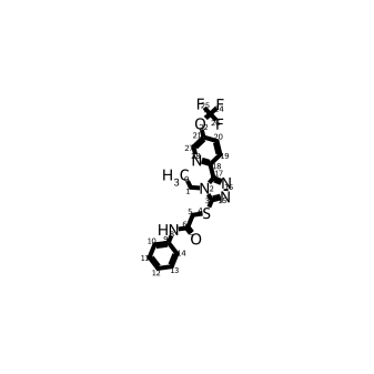 CCn1c(SCC(=O)Nc2ccccc2)nnc1-c1ccc(OC(F)(F)F)cn1